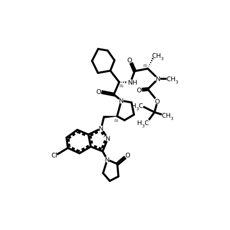 C[C@@H](C(=O)N[C@H](C(=O)N1CCC[C@H]1Cn1nc(N2CCCC2=O)c2cc(Cl)ccc21)C1CCCCC1)N(C)C(=O)OC(C)(C)C